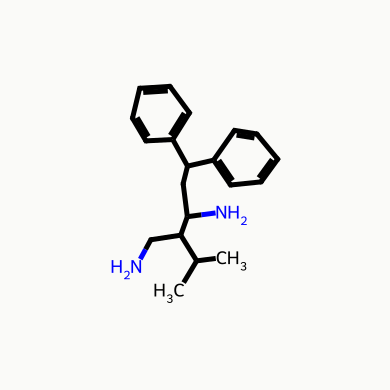 CC(C)C(CN)C(N)CC(c1ccccc1)c1ccccc1